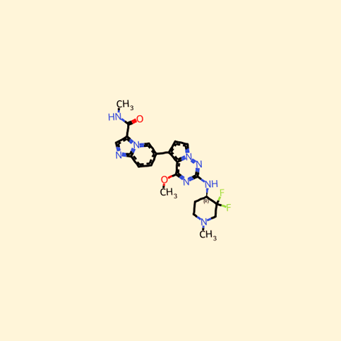 CNC(=O)c1cnc2ccc(-c3ccn4nc(N[C@@H]5CCN(C)CC5(F)F)nc(OC)c34)cn12